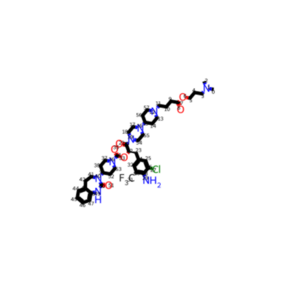 CN(C)CCCOC(=O)CCCN1CCC(N2CCN(C(=O)[C@@H](Cc3cc(Cl)c(N)c(C(F)(F)F)c3)OC(=O)N3CCC(N4CCc5ccccc5NC4=O)CC3)CC2)CC1